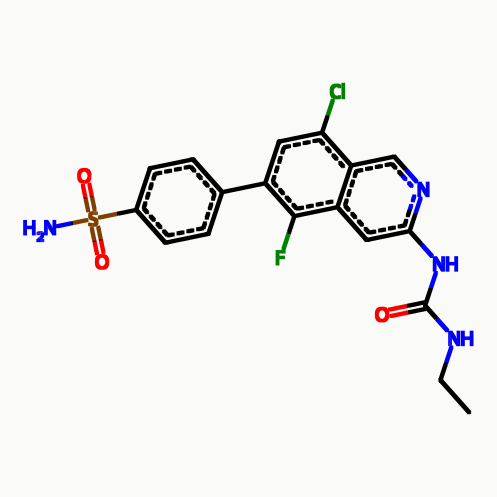 CCNC(=O)Nc1cc2c(F)c(-c3ccc(S(N)(=O)=O)cc3)cc(Cl)c2cn1